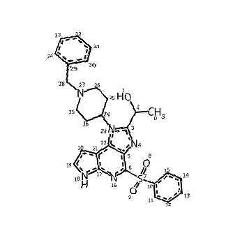 CC(O)c1nc2c(S(=O)(=O)c3ccccc3)nc3[nH]ccc3c2n1C1CCN(Cc2ccccc2)CC1